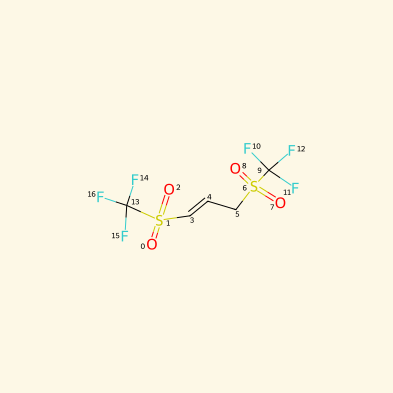 O=S(=O)(C=CCS(=O)(=O)C(F)(F)F)C(F)(F)F